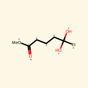 CCC(O)(O)CCCC(=O)OC